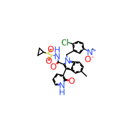 C=[N+]([O-])c1ccc(Cl)c(Cn2c(C(=O)NS(=O)(=O)C3CC3)c(-c3ccc[nH]c3=O)c3cc(C)ccc32)c1